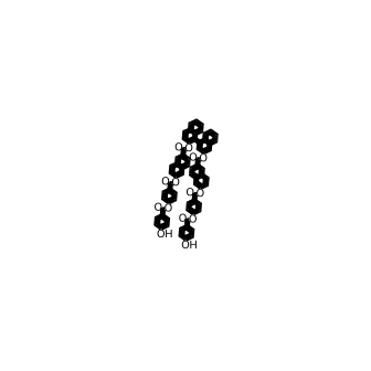 O=C(Oc1ccc(C(=O)Oc2ccc3cc(C(=O)Oc4cc(-c5c(OC(=O)c6ccc7cc(OC(=O)c8ccc(OC(=O)c9ccc(O)cc9)cc8)ccc7c6)ccc6ccccc56)c5ccccc5c4)ccc3c2)cc1)c1ccc(O)cc1